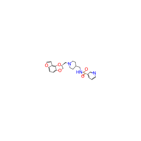 O=S(=O)(NCC1CCN(C[C@H]2COc3ccc4occc4c3O2)CC1)c1cccnc1